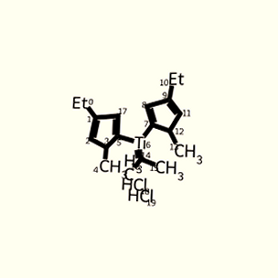 CCC1=CC(C)[C]([Ti]([C]2=CC(CC)=CC2C)=[C](C)C)=C1.Cl.Cl